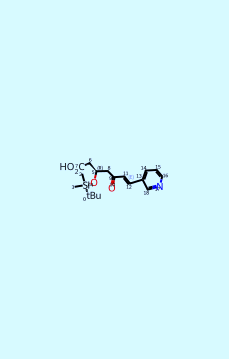 CC(C)(C)[Si](C)(C)O[C@@H](CC(=O)O)CC(=O)/C=C/c1cccnc1